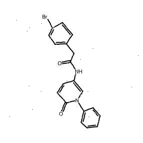 O=C(Cc1ccc(Br)cc1)Nc1ccc(=O)n(-c2ccccc2)c1